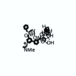 C=C(CN(C)c1cc(C(=O)N[C@@H](Cc2ccccc2)CN(C)C)cc(-c2cccc(CN3O[C@@H](CO)[C@@H]([C@H](C)O)[C@H]3C(=O)N[C@H]3C[C@H]4C[C@@H]([C@@H]3C)C4(C)C)c2OC)c1)NC